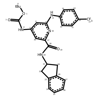 CC(C)(C)OC(=O)Nc1cc(Nc2ccc(C(F)(F)F)cc2)nc(C(=O)NC2Cc3ccccc3C2)c1